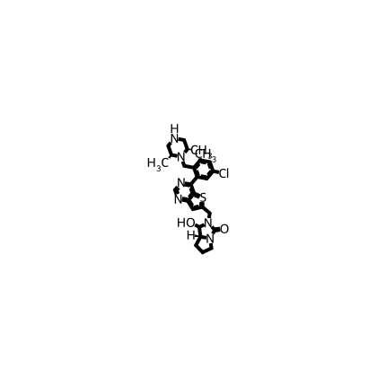 Cc1cc(Cl)cc(-c2ncnc3cc(CN4C(=O)N5CCC[C@@H]5C4O)sc23)c1CN1[C@@H](C)CNC[C@@H]1C